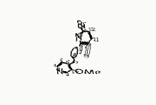 COc1cnccc1COc1cccc(Br)n1